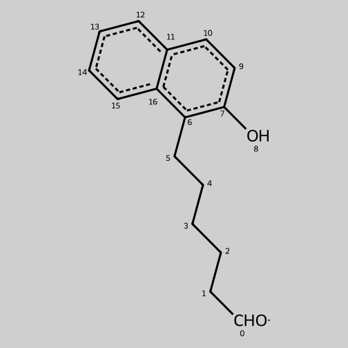 O=[C]CCCCCc1c(O)ccc2ccccc12